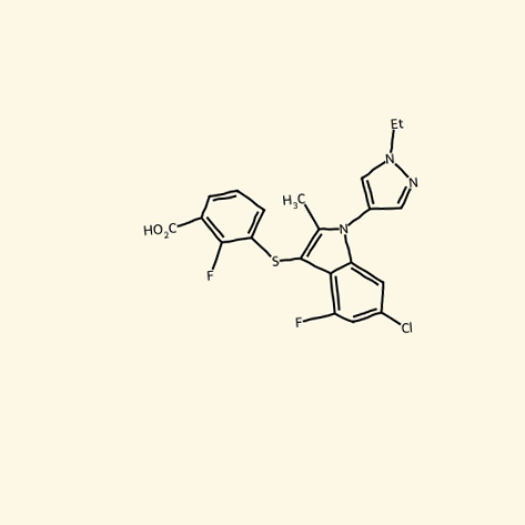 CCn1cc(-n2c(C)c(Sc3cccc(C(=O)O)c3F)c3c(F)cc(Cl)cc32)cn1